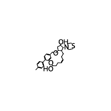 Cc1ccc(-c2ccc(CO[C@H]3C[C@@H](O)[C@H](N4CCSCC4)[C@H]3CC/C=C\CCC(=O)O)cc2)cc1